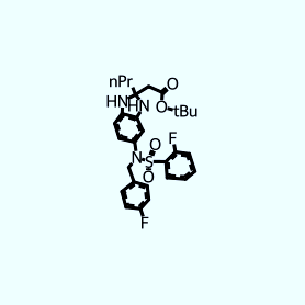 CCCC1(CC(=O)OC(C)(C)C)Nc2ccc(N(Cc3ccc(F)cc3)S(=O)(=O)c3ccccc3F)cc2N1